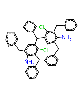 Nc1c(Cc2ccccc2)cc(C(c2ccccc2)c2cc(Cc3ccccc3)c(N)c(Cc3ccccc3)c2Cl)c(Cl)c1Cc1ccccc1